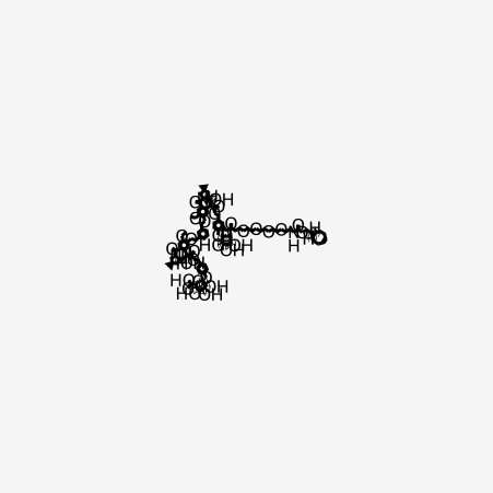 COc1cc2c(cc1OCc1cccc(COc3cc4c(cc3OC)C(=O)N3CC5(CC5)C[C@H]3[C@H](O)N4C(=O)OCc3ccc(O[C@@H]4OC[C@H](O)[C@H](O)[C@H]4O)c(NC(=O)CCOCCOCCOCCOCCNC(=O)OCC4[C@H]5CCC#CCC[C@@H]45)c3)c1)N(C(=O)OCc1ccc(O[C@@H]3O[C@H](C(=O)O)[C@@H](O)[C@H](O)[C@H]3O)cc1)[C@@H](O)[C@@H]1CC3(CC3)CN1C2=O